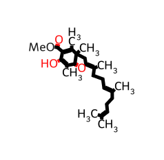 COC(=O)C1=C(C)C(C)(C/C=C(\C)CC/C=C(\C)CCC=C(C)C)C(=O)C(C)=C1O